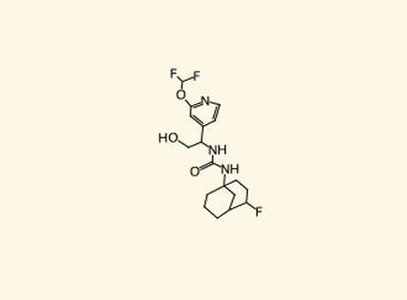 O=C(NC(CO)c1ccnc(OC(F)F)c1)NC12CCCC(C1)C(F)CC2